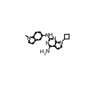 Cn1ccc2cc(Nc3nc(N)c4ccn(C5CCC5)c4n3)ccc21